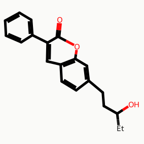 CCC(O)CCc1ccc2cc(-c3ccccc3)c(=O)oc2c1